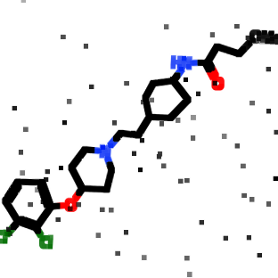 COCCC(=O)NC1CCC(CCN2CCC(Oc3cccc(Cl)c3Cl)CC2)CC1